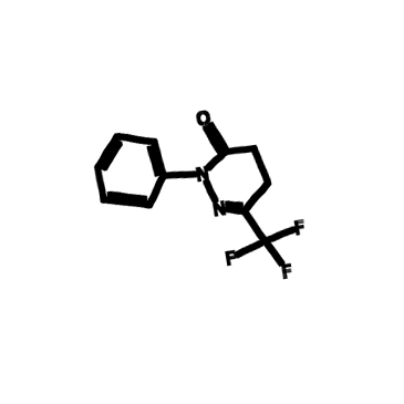 O=C1CCC(C(F)(F)F)=NN1c1ccccc1